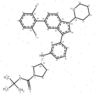 CC(C)(C)OC(=O)N1CC[C@@H](Nc2cncc(-c3nn(C4CCCCO4)c4ccc(-c5c(F)cccc5F)cc34)n2)C1